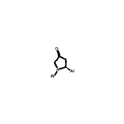 CC(=O)[C@@H]1CC(=O)CN1C(C)C